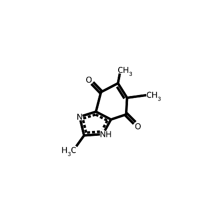 CC1=C(C)C(=O)c2[nH]c(C)nc2C1=O